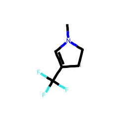 CN1C=C(C(F)(F)F)[C]C1